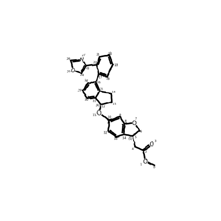 COC(=O)C[C@@H]1COc2cc(O[C@@H]3CCc4c(-c5ccccc5-c5cocn5)cccc43)ccc21